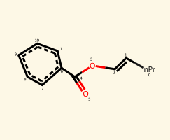 CCCC=COC(=O)c1ccccc1